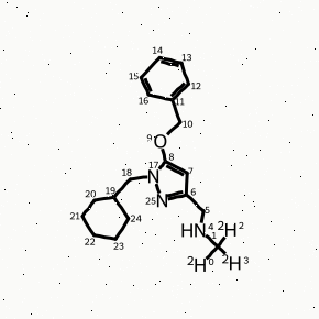 [2H]C([2H])([2H])NCc1cc(OCc2ccccc2)n(CC2CCCCC2)n1